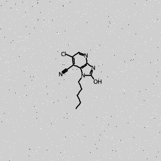 CCCCCn1c(O)nc2ncc(Cl)c(C#N)c21